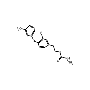 NNC(=O)OCCc1ccc(Oc2cccc(C(F)(F)F)n2)c(F)c1